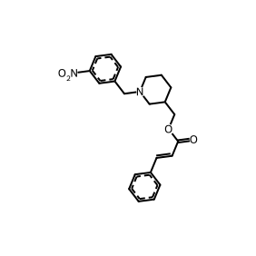 O=C(C=Cc1ccccc1)OCC1CCCN(Cc2cccc([N+](=O)[O-])c2)C1